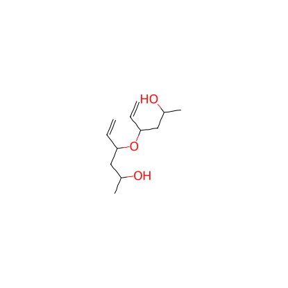 C=CC(CC(C)O)OC(C=C)CC(C)O